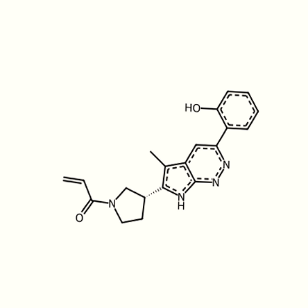 C=CC(=O)N1CC[C@@H](c2[nH]c3nnc(-c4ccccc4O)cc3c2C)C1